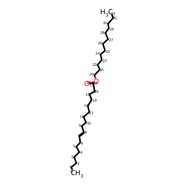 CCCCCCC/C=C/CCCCCCCCC(=O)OCCCCCCCCCCCCC